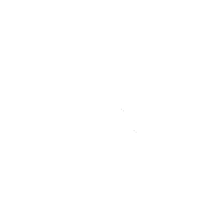 O=c1[nH]c(CCCc2ccccc2)nc2ccccc12